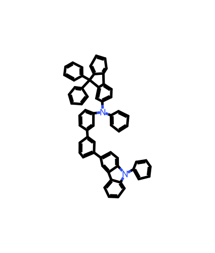 c1ccc(N(c2cccc(-c3cccc(-c4ccc5c(c4)c4ccccc4n5-c4ccccc4)c3)c2)c2ccc3c(c2)C(c2ccccc2)(c2ccccc2)c2ccccc2-3)cc1